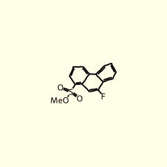 [CH2]OS(=O)(=O)c1cccc2c1cc(F)c1ccccc12